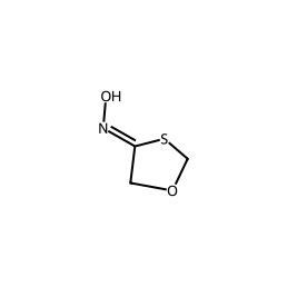 ON=C1COCS1